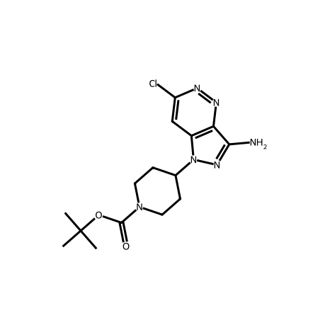 CC(C)(C)OC(=O)N1CCC(n2nc(N)c3nnc(Cl)cc32)CC1